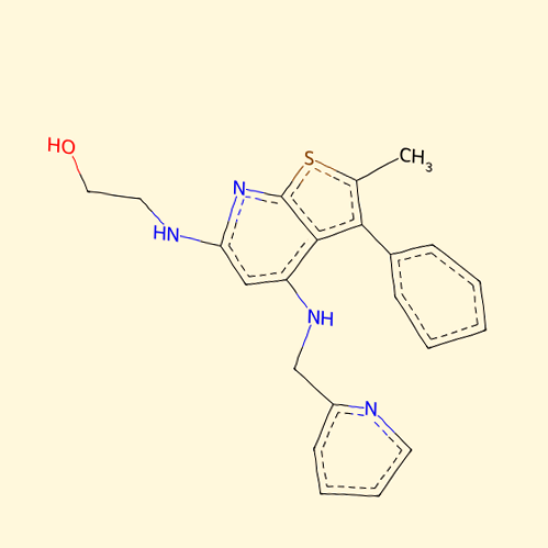 Cc1sc2nc(NCCO)cc(NCc3ccccn3)c2c1-c1ccccc1